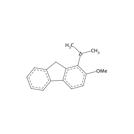 COc1ccc2c([c]1[Zr]([CH3])[CH3])Cc1ccccc1-2